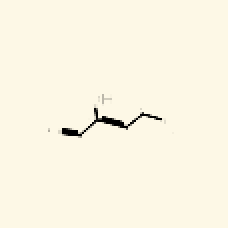 O=CC(O)=CCO